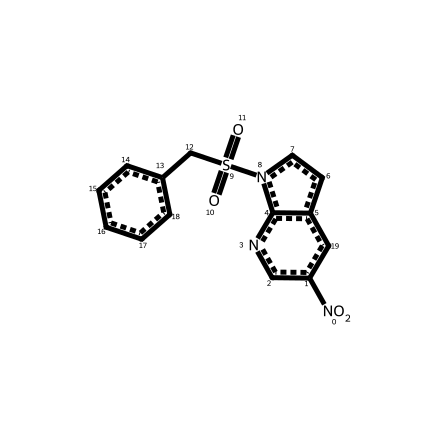 O=[N+]([O-])c1cnc2c(ccn2S(=O)(=O)Cc2ccccc2)c1